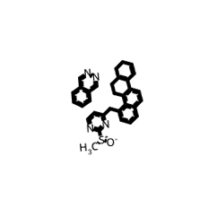 C[S+]([O-])c1nccc(Cc2cccc3ccc4c(c23)CCC2=C4C=CCC2)n1.c1ccc2cnncc2c1